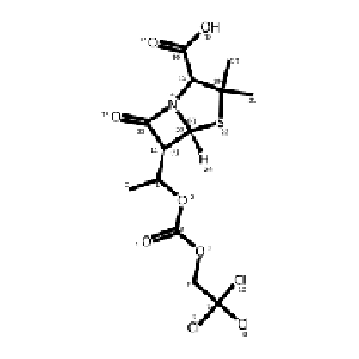 CC(OC(=O)OCC(Cl)(Cl)Cl)[C@H]1C(=O)N2C(C(=O)O)C(C)(C)S[C@H]12